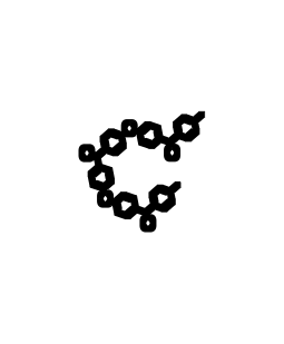 Cc1ccc(C(=O)c2ccc(Oc3ccc(C(=O)c4ccc(Oc5ccc(C(=O)c6ccc(C)cc6)cc5)cc4)cc3)cc2)cc1